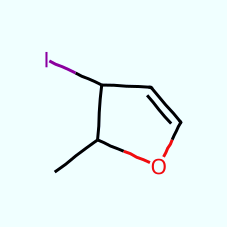 CC1OC=CC1I